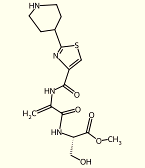 C=C(NC(=O)c1csc(C2CCNCC2)n1)C(=O)N[C@@H](CO)C(=O)OC